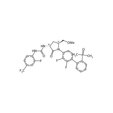 COC[C@@H]1C[C@@H](NC(=O)Nc2ccc(C(F)(F)F)cc2F)C(=O)N1c1ccc(-c2ccccc2P(C)(C)=O)c(F)c1F